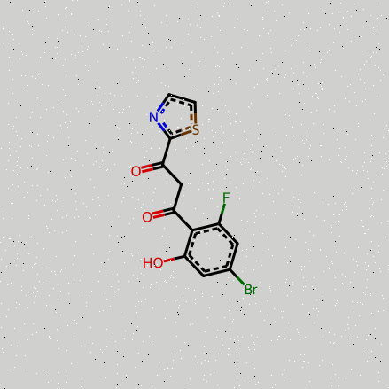 O=C(CC(=O)c1c(O)cc(Br)cc1F)c1nccs1